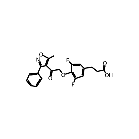 Cc1onc(-c2ccccc2)c1C(=O)COc1c(F)cc(CCC(=O)O)cc1F